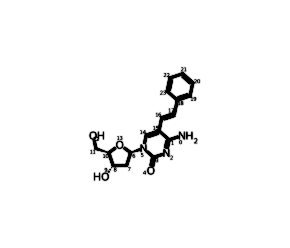 Nc1nc(=O)n([C@H]2C[C@H](O)[C@@H](CO)O2)cc1C=Cc1ccccc1